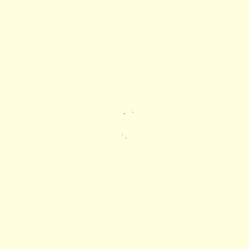 CCCCCCCCCC[CH]([Na])CCCCCCCCC.O=S(=O)(O)O